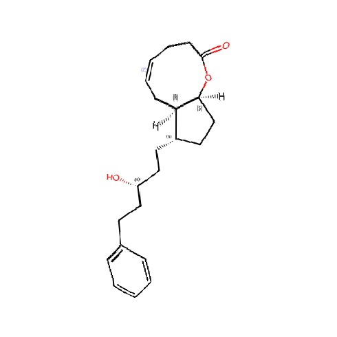 O=C1CC/C=C\C[C@@H]2[C@@H](CC[C@@H](O)CCc3ccccc3)CC[C@@H]2O1